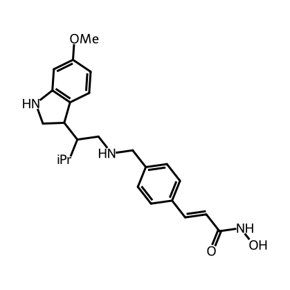 COc1ccc2c(c1)NCC2C(CNCc1ccc(/C=C/C(=O)NO)cc1)C(C)C